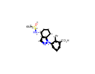 CC(C)c1c(C(=O)O)cccc1-n1ncc2c1CCC[C@H]2N[S@+]([O-])C(C)(C)C